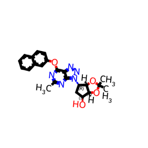 Cc1nc(Oc2ccc3ccccc3c2)c2nnn([C@@H]3C[C@H](O)[C@H]4OC(C)(C)O[C@H]43)c2n1